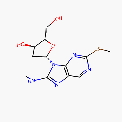 CNc1nc2cnc(SC)nc2n1[C@@H]1C[C@@H](O)[C@H](CO)O1